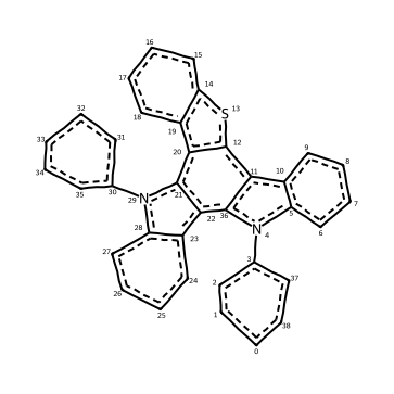 c1ccc(-n2c3ccccc3c3c4sc5ccccc5c4c4c(c5ccccc5n4-c4ccccc4)c32)cc1